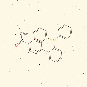 COC(=O)c1ccc(-c2ccccc2P(c2ccccc2)c2ccccc2)cc1